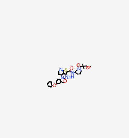 COCC(C)(C)C(=O)N1CCCC(NC(=O)c2sc3nccc4c3c2NC(=O)N4c2ccc(Oc3ccccc3)cc2C)C1